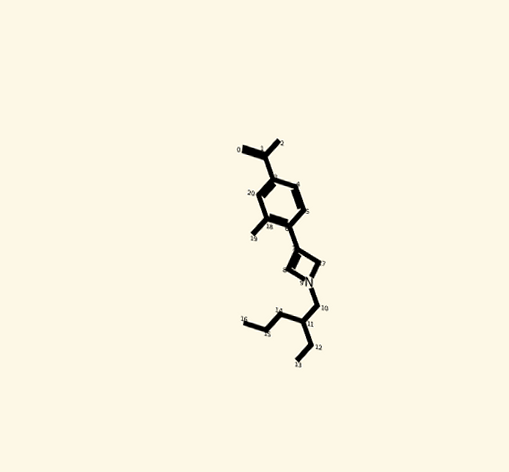 C=C(C)c1ccc(C2=CN(CC(CC)CCC)C2)c(C)c1